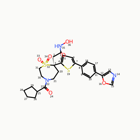 O=C(C[C@]1(c2ccc(-c3ccc(-c4cnco4)cc3)s2)CCN(C(=O)C2CCCC2)CCS1(=O)=O)NO